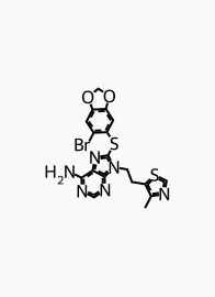 Cc1ncsc1CCn1c(Sc2cc3c(cc2Br)OCO3)nc2c(N)ncnc21